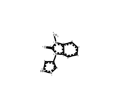 Cn1c(=O)n(-c2cn[nH]c2)c2ccccc21